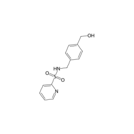 O=S(=O)(NCc1ccc(CO)cc1)c1ccccn1